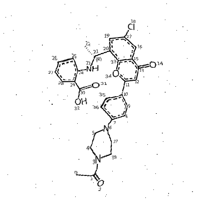 CC(=O)N1CCN(c2ccc(-c3cc(=O)c4cc(Cl)cc([C@@H](C)Nc5ccccc5C(=O)O)c4o3)cc2)CC1